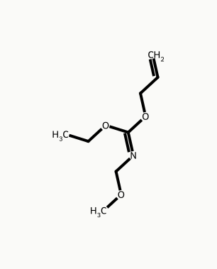 C=CCOC(=NCOC)OCC